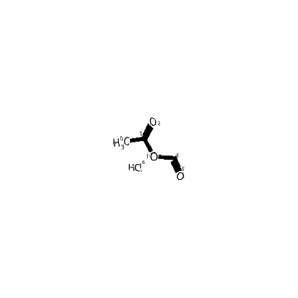 CC(=O)OC=O.Cl